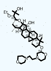 CCO[C@@H]([C@H]1C[C@@H](C)[C@H]2[C@H](O1)[C@H](O)[C@@]1(C)[C@@H]3CC[C@H]4C(C)(C)[C@@H](O[C@H]5CN(CCN6CCOCC6)CCO5)CC[C@@]45C[C@@]35CC[C@]21C)C(C)(C)O